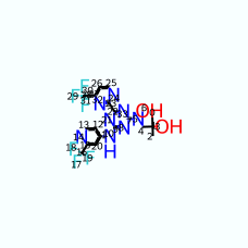 CC(C)(O)CN(O)c1nc(Nc2ccnc(C(F)(F)F)c2)nc(-c2nccc(C(F)(F)F)n2)n1